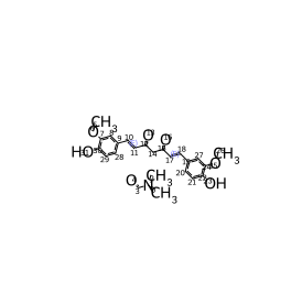 CN(C)C=O.COc1cc(/C=C/C(=O)CC(=O)/C=C/c2ccc(O)c(OC)c2)ccc1O